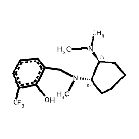 CN(C)[C@H]1CCCC[C@@H]1N(C)Cc1cccc(C(F)(F)F)c1O